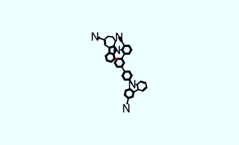 N#CC1=Cc2c(n(-c3c(C#N)cccc3-c3cccc(-c4ccc(N5c6ccc(C#N)cc6C6C=CC=CC65)cc4)c3)c3ccccc23)CCC1